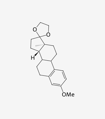 COc1ccc2c(c1)CCC1C2CC[C@@]2(C)[C@H]1CCC21OCCO1